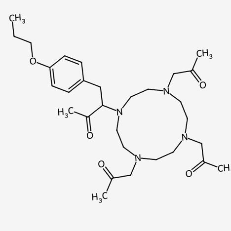 CCCOc1ccc(CC(C(C)=O)N2CCN(CC(C)=O)CCN(CC(C)=O)CCN(CC(C)=O)CC2)cc1